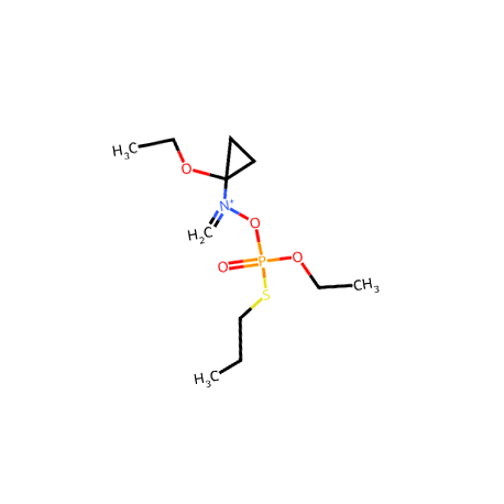 C=[N+](OP(=O)(OCC)SCCC)C1(OCC)CC1